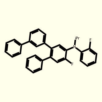 CC(C)N(c1ccccc1F)c1cc(-c2cccc(-c3ccccc3)c2)c(-c2ccccc2)cc1F